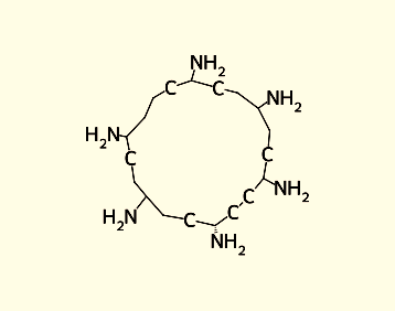 NC1CCCC(N)CCC(N)CC[C@@H](N)CCC(N)CCC(N)CC1